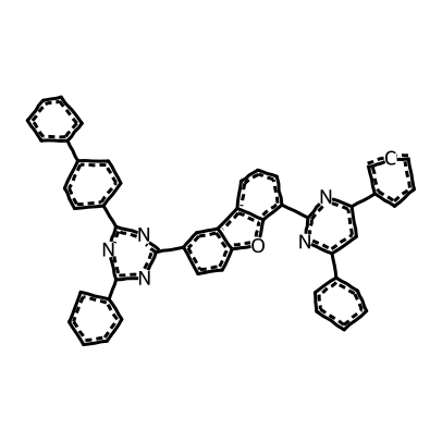 c1ccc(-c2ccc(-c3nc(-c4ccccc4)nc(-c4ccc5oc6c(-c7nc(-c8ccccc8)cc(-c8ccccc8)n7)cccc6c5c4)n3)cc2)cc1